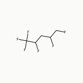 FCC(F)CC(F)C(F)(F)F